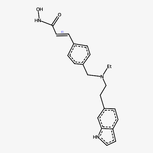 CCN(CCc1ccc2cc[nH]c2c1)Cc1ccc(/C=C/C(=O)NO)cc1